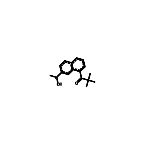 CB(O)c1ccc2cccc(C(=O)C(C)(C)C)c2c1